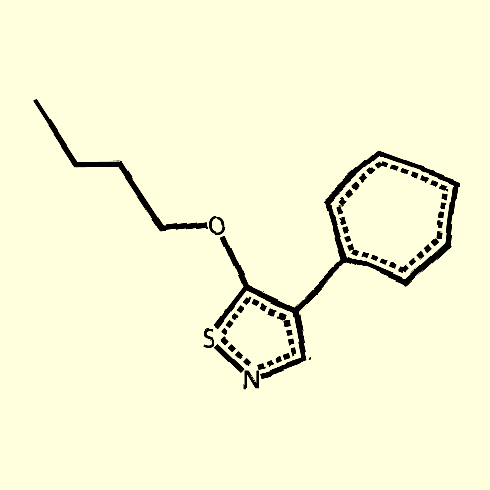 CCCCOc1sn[c]c1-c1ccccc1